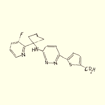 O=C(O)c1ccc(-c2ccc(NC3(c4ncccc4F)CCC3)nn2)s1